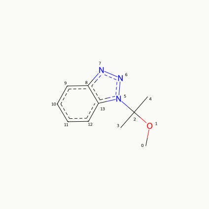 COC(C)(C)n1nnc2ccccc21